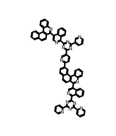 c1ccc(-c2nc(-c3ccccn3)nc(-c3ncc(-c4nc5ccccc5c5c4ccc4ccc(-c6ccc(-c7nc(-c8cccnc8)nc(-c8ncc(-c9nc%10ccccc%10c%10c9ccc9ccccc9%10)c9ccccc89)n7)cn6)cc45)c4ccccc34)n2)nc1